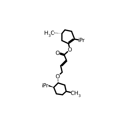 CC1CC[C@@H](C(C)C)[C@H](OC/C=C/C(=O)OC2=C(C(C)C)CC[C@@H](C)C2)C1